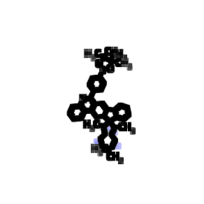 C=C/C=C\C=C(/C)C1(/C(C)=C/C=C\C)c2ccccc2C2=Cc3c(-c4ccc(B5OC(C)(C)C(C)(C)O5)cc4)nc4ccccc4c3CC21